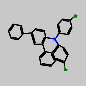 Brc1ccc(N(c2ccc(Br)cc2)c2ccc(-c3ccccc3)cc2-c2ccccc2)cc1